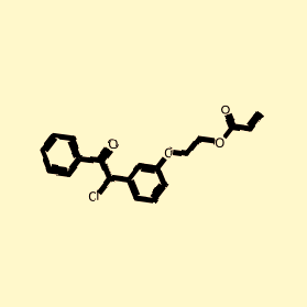 C=CC(=O)OCCOc1cccc(C(Cl)C(=O)c2ccccc2)c1